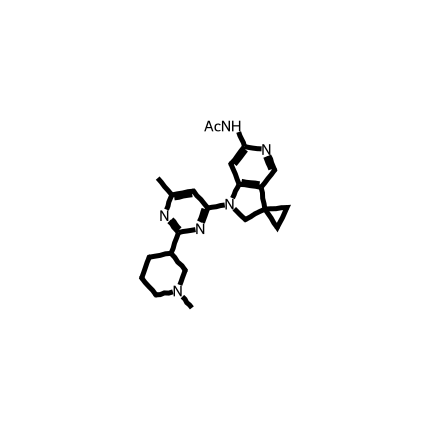 CC(=O)Nc1cc2c(cn1)C1(CC1)CN2c1cc(C)nc(C2CCCN(C)C2)n1